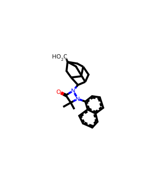 CC1(C)C(=O)N(C2C3CC4CC2CC(C(=O)O)(C4)C3)N1c1cccc2ccccc12